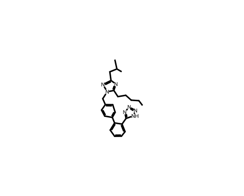 CCCCCc1nc(CC(C)C)nn1Cc1ccc(-c2ccccc2-c2nnn[nH]2)cc1